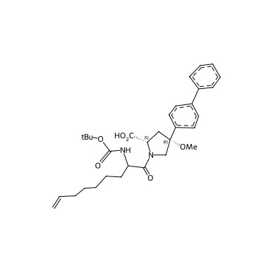 C=CCCCCCC(NC(=O)OC(C)(C)C)C(=O)N1C[C@](OC)(c2ccc(-c3ccccc3)cc2)C[C@H]1C(=O)O